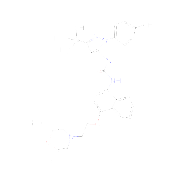 Cc1ccc(-n2nc([Si](C)(C)C)cc2NC(=O)Nc2ccc(OCCN3C[C@@H](C)O[C@@H](C)C3)c3ccccc23)cc1